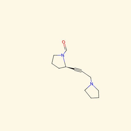 O=CN1CCC[C@@H]1C#CCN1CCCC1